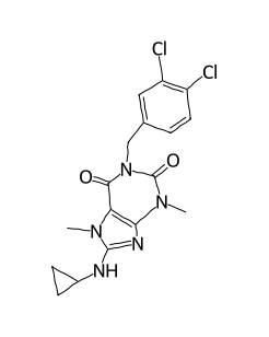 Cn1c(NC2CC2)nc2c1c(=O)n(Cc1ccc(Cl)c(Cl)c1)c(=O)n2C